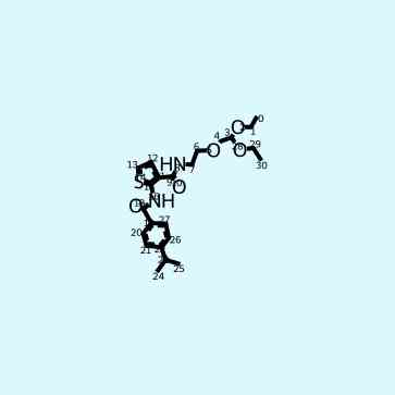 CCOC(COCCNC(=O)c1ccsc1NC(=O)c1ccc(C(C)C)cc1)OCC